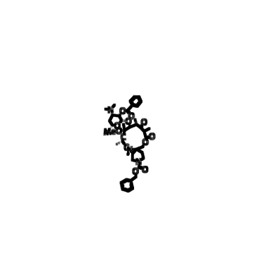 CO[C@]1(C)C[C@@H](C)CN(C)C2(CCN(C(=O)OCc3ccccc3)CC2)COC(=O)C(C)C(=O)[C@H](C)[C@H]1O[C@@H]1O[C@H](C)C[C@H](N(C)C)[C@H]1OC(=O)c1ccccc1